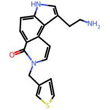 NCCc1c[nH]c2ccc3c(=O)n(Cc4ccsc4)ccc3c12